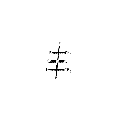 O=S(=O)(C(F)(F)C(F)(F)F)C(F)(F)C(F)(F)F